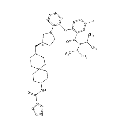 CC(C)N(C(=O)c1cc(F)ccc1Oc1nncnc1N1CC[C@@H](CN2CCC3(CCC(NC(=O)c4cnco4)CC3)CC2)C1)C(C)C